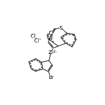 BrC1=C[CH]([Zr+2][C]2=Cc3c4cccc3C2c2cccc(c2)S4)c2ccccc21.[Cl-].[Cl-]